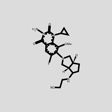 COc1c(N2C[C@@H]3CCC(NCCC#N)[C@@H]3C2)c(F)cc2c(=O)n(N)c(=O)n(C3CC3)c12